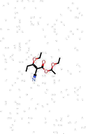 CCOC(CC)=C(C#N)C(=O)OC(C)OCC